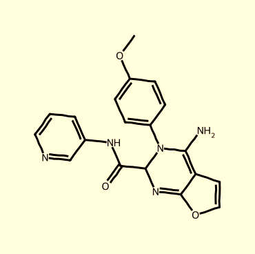 COc1ccc(N2C(N)=c3ccoc3=NC2C(=O)Nc2cccnc2)cc1